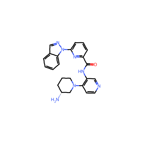 N[C@@H]1CCCN(c2ccncc2NC(=O)c2cccc(-n3ncc4ccccc43)n2)C1